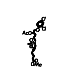 COC(=O)CCCC#CCN(CCCC(COc1ccc(Cl)cc1Cl)OC(C)=O)S(C)(=O)=O